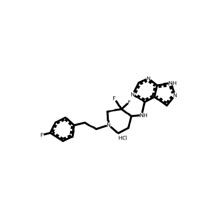 Cl.Fc1ccc(CCN2CCC(Nc3ncnc4[nH]ncc34)C(F)(F)C2)cc1